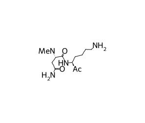 CN[C@@H](CC(N)=O)C(=O)N[C@@H](CCCCN)C(C)=O